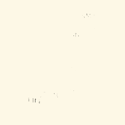 CNC(=O)NCCc1cccc(N2CCNC2=O)c1